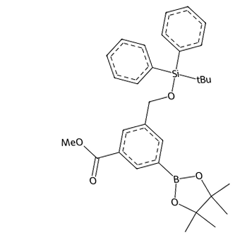 COC(=O)c1cc(CO[Si](c2ccccc2)(c2ccccc2)C(C)(C)C)cc(B2OC(C)(C)C(C)(C)O2)c1